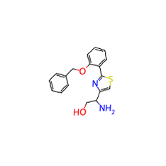 NC(CO)c1csc(-c2ccccc2OCc2ccccc2)n1